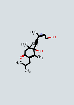 CC1=C(CC(C)C)C(=O)CC(C)(C)C1(O)C#C/C(C)=C\CO